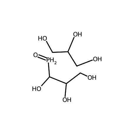 O=[PH2]C(O)C(O)CO.OCC(O)CO